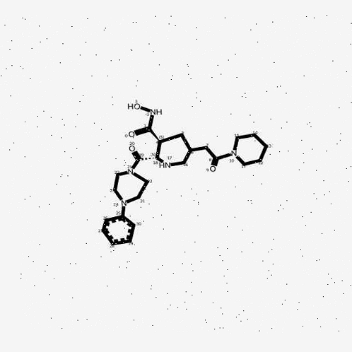 O=C(NO)[C@H]1CC(CC(=O)N2CCCCC2)CN[C@@H]1C(=O)N1CCN(c2ccccc2)CC1